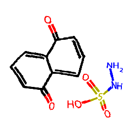 NNS(=O)(=O)O.O=C1C=CC=C2C(=O)C=CC=C12